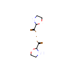 S=C(SSC(=S)C1NCCO1)C1NCCO1